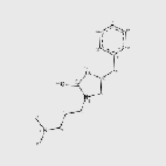 CN(C)CCCN1CC(Cc2ccccc2)OC1=O